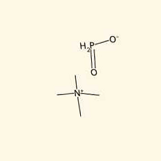 C[N+](C)(C)C.O=[PH2][O-]